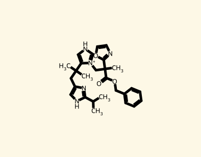 CC(C)c1nc(CC(C)(C)c2c[nH]c[n+]2CC(C)(C(=O)OCc2ccccc2)c2ncco2)c[nH]1